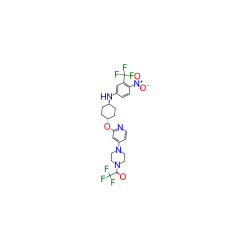 O=C(N1CCN(c2ccnc(O[C@H]3CC[C@H](Nc4ccc([N+](=O)[O-])c(C(F)(F)F)c4)CC3)c2)CC1)C(F)(F)F